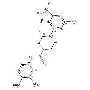 COc1ccc(NC(=O)N2CCN(c3cc(N)nc4c3cnn4C)[C@@H](C)C2)nc1C(F)(F)F